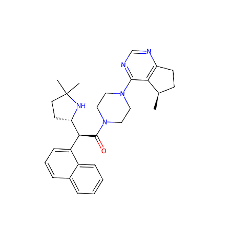 C[C@@H]1CCc2ncnc(N3CCN(C(=O)[C@@H](c4cccc5ccccc45)[C@@H]4CCC(C)(C)N4)CC3)c21